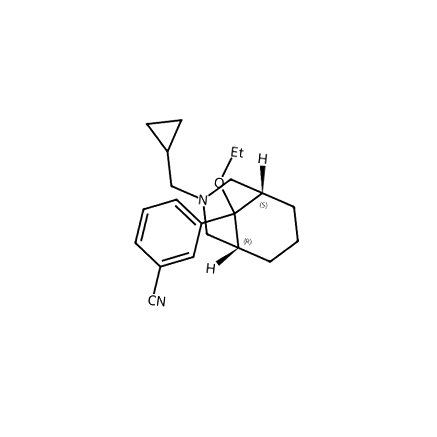 CCOC1(c2cccc(C#N)c2)[C@@H]2CCC[C@H]1CN(CC1CC1)C2